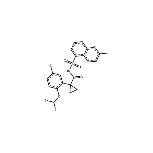 Cc1ccc2c(S(=O)(=O)NC(=O)C3(c4cc(Cl)ccc4OC(F)F)CC3)cccc2n1